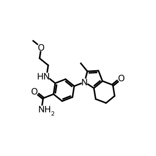 COCCNc1cc(-n2c(C)cc3c2CCCC3=O)ccc1C(N)=O